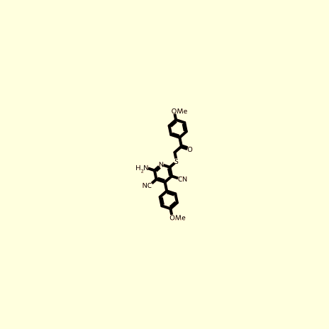 COc1ccc(C(=O)CSc2nc(N)c(C#N)c(-c3ccc(OC)cc3)c2C#N)cc1